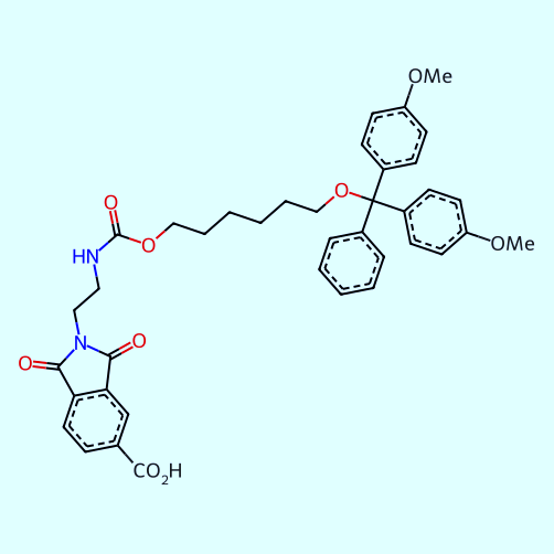 COc1ccc(C(OCCCCCCOC(=O)NCCN2C(=O)c3ccc(C(=O)O)cc3C2=O)(c2ccccc2)c2ccc(OC)cc2)cc1